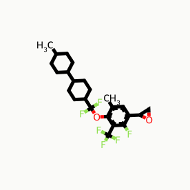 Cc1cc(C2CO2)c(F)c(C(F)(F)F)c1OC(F)(F)C1CCC(C2CCC(C)CC2)CC1